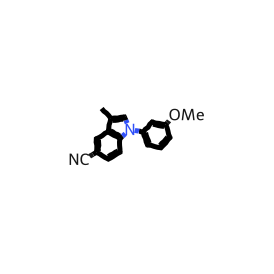 COc1cccc(-n2cc(C)c3cc(C#N)ccc32)c1